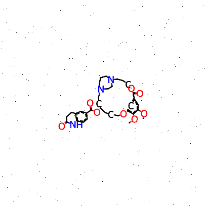 COc1cc2cc(c1OC)OCCCC(OC(=O)c1ccc3c(c1)CCC(=O)N3)CCN1CCCN(CCCOC2=O)CC1